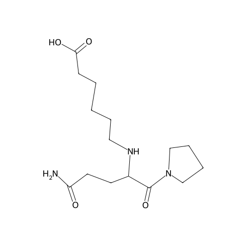 NC(=O)CCC(NCCCCCC(=O)O)C(=O)N1CCCC1